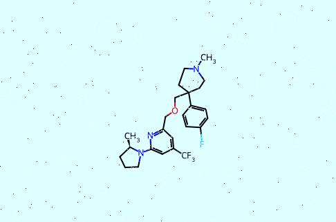 C[C@@H]1CCCN1c1cc(C(F)(F)F)cc(COCC2(c3ccc(F)cc3)CCN(C)CC2)n1